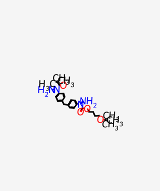 CC(C)(C)OCCCCOC(=O)N(N)c1ccc(Cc2ccc(N(N)C(=O)C(C)(C)C)cc2)cc1